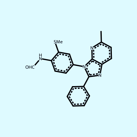 CSc1cc(-n2c(-c3ccccc3)nc3ccc(C)nc32)ccc1NC=O